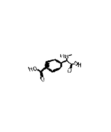 CNC(C(=O)O)c1ccc(C(=O)O)cc1